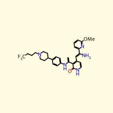 C=C(Nc1ccc(C2CCN(CCCC(F)(F)F)CC2)cc1)c1c(/C=C(\N)c2cccc(OC)n2)cc[nH]c1=O